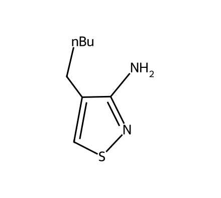 CCCCCc1csnc1N